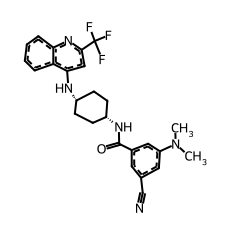 CN(C)c1cc(C#N)cc(C(=O)N[C@H]2CC[C@@H](Nc3cc(C(F)(F)F)nc4ccccc34)CC2)c1